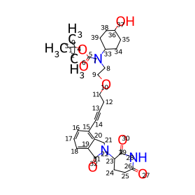 CC(C)(C)OC(=O)N(CCOCCC#Cc1cccc2c1CN(C1CCC(=O)NC1=O)C2=O)C1CCC(O)CC1